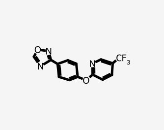 FC(F)(F)c1ccc(Oc2ccc(-c3ncon3)cc2)nc1